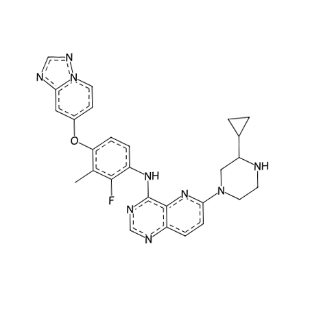 Cc1c(Oc2ccn3ncnc3c2)ccc(Nc2ncnc3ccc(N4CCNC(C5CC5)C4)nc23)c1F